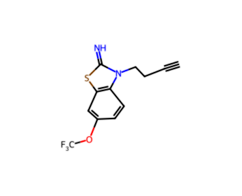 C#CCCn1c(=N)sc2cc(OC(F)(F)F)ccc21